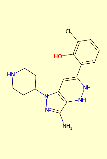 Nc1nn(C2CCNCC2)c2c1NNC(c1cccc(Cl)c1O)=C2